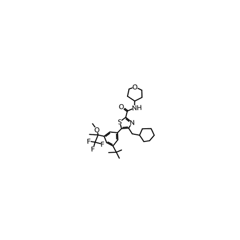 COC(C)(c1cc(-c2sc(C(=O)NC3CCOCC3)nc2CC2CCCCC2)cc(C(C)(C)C)c1)C(F)(F)F